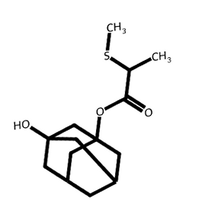 CSC(C)C(=O)OC12CC3CC(CC(O)(C3)C1)C2